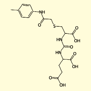 Cc1ccc(NC(=O)CSCC(NC(=O)NC(CCC(=O)O)C(=O)O)C(=O)O)cc1